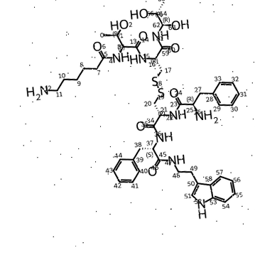 C[C@@H](O)[C@H](NC(=O)CCCCCN)C(=O)N[C@@H](CSSC[C@H](NC(=O)[C@H](N)Cc1ccccc1)C(=O)N[C@@H](Cc1ccccc1)C(=O)NCCc1c[nH]c2ccccc12)C(=O)N[C@H](O)[C@@H](C)O